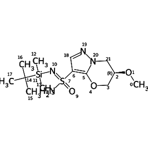 CO[C@H]1COc2c(S(N)(=O)=N[Si](C)(C)C(C)(C)C)cnn2C1